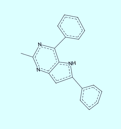 Cc1nc(-c2ccccc2)c2[nH]c(-c3ccccc3)cc2n1